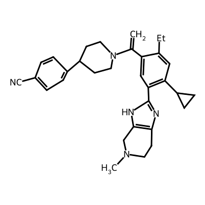 C=C(c1cc(-c2nc3c([nH]2)CN(C)CC3)c(C2CC2)cc1CC)N1CCC(c2ccc(C#N)cc2)CC1